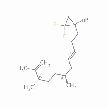 C=C(C)[C@@H](C)CC[C@H](C)C/C=C/CCC1(CCC)CC1(F)F